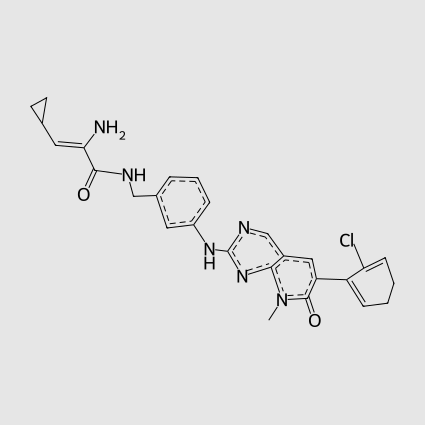 Cn1c(=O)c(C2=CCCC=C2Cl)cc2cnc(Nc3cccc(CNC(=O)/C(N)=C/C4CC4)c3)nc21